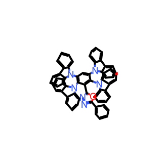 c1ccc(-c2nnc(-c3c(-n4c5ccccc5c5ccccc54)c(-n4c5ccccc5c5ccccc54)cc(-n4c5ccccc5c5ccccc54)c3-n3c4ccccc4c4ccccc43)o2)cc1